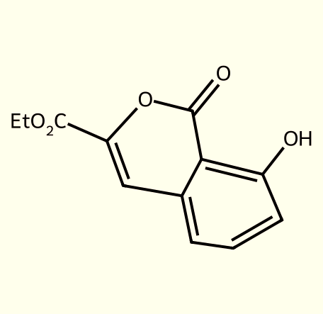 CCOC(=O)c1cc2cccc(O)c2c(=O)o1